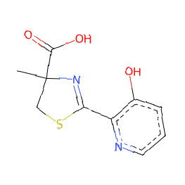 CC1(C(=O)O)CSC(c2ncccc2O)=N1